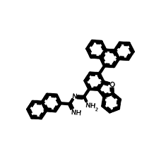 N=C(/N=C(\N)c1ccc(-c2cc3ccccc3c3ccccc23)c2oc3ccccc3c12)c1ccc2ccccc2c1